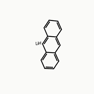 [LiH].c1ccc2cc3ccccc3cc2c1